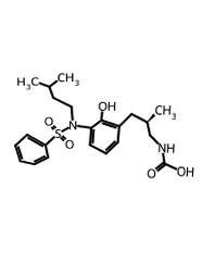 CC(C)CCN(c1cccc(C[C@@H](C)CNC(=O)O)c1O)S(=O)(=O)c1ccccc1